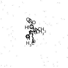 COCCCCn1c(C(=O)N(CC(C)C)[C@@H]2CNC[C@H](C(=O)N3CCOCC3)C2)ccc1-c1cccnc1